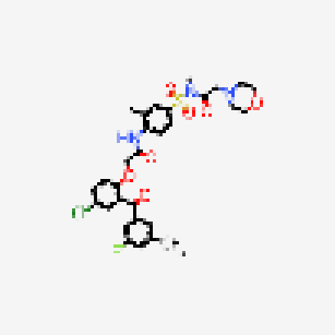 Cc1cc(S(=O)(=O)N(C)C(=O)CN2CCOCC2)ccc1NC(=O)COc1ccc(Cl)cc1C(=O)c1cc(F)cc(C(F)(F)F)c1